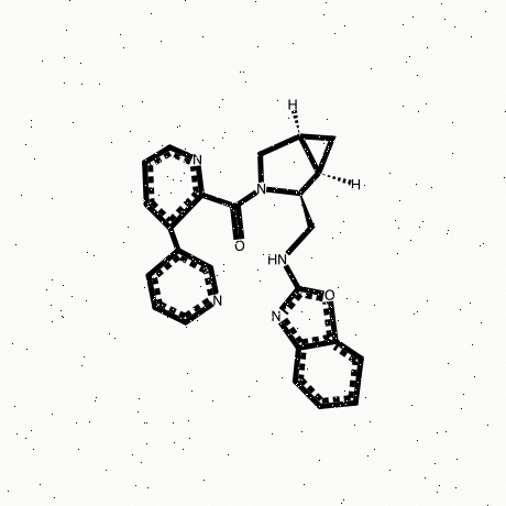 O=C(c1ncccc1-c1cccnc1)N1C[C@H]2C[C@H]2[C@H]1CNc1nc2ccccc2o1